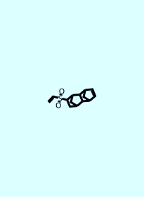 C=CS(=O)(=O)C1CC2CC1C1C3C=CC(C3)C21